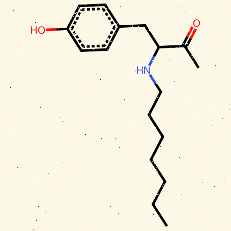 CCCCCCCNC(Cc1ccc(O)cc1)C(C)=O